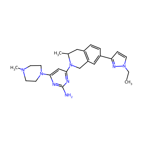 CCn1ccc(-c2ccc3c(c2)CN(c2cc(N4CCN(C)CC4)nc(N)n2)C(C)C3)n1